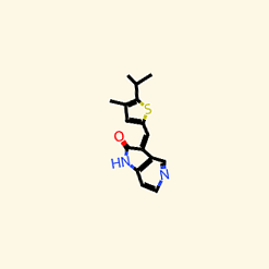 Cc1cc(C=C2C(=O)Nc3ccncc32)sc1C(C)C